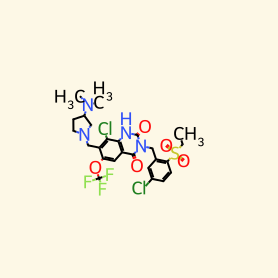 CCS(=O)(=O)c1ccc(Cl)cc1Cn1c(=O)[nH]c2c(Cl)c(CN3CCC(N(C)C)C3)c(OC(F)(F)F)cc2c1=O